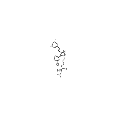 Cc1cc(C)cc(CSc2nnc(CCCCC(=O)NCC(C)C)n2-c2cccc(Cl)c2)c1